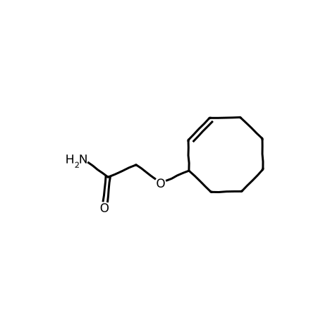 NC(=O)COC1/C=C\CCCCC1